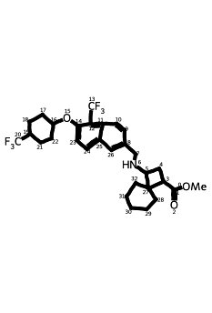 COC(=O)C1CC(NCc2ccc3c(C(F)(F)F)c(OC4CCC(C(F)(F)F)CC4)ccc3c2)C12CCCCC2